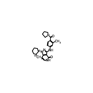 Cc1cc(Nc2nn([C@H]3CCCC[C@@H]3C)c3cc[nH]c(=O)c23)ccc1C(=O)N1CCCC1